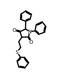 O=C1C(CCSc2ccccc2)C(=O)N(c2ccccc2)C1c1ccccc1